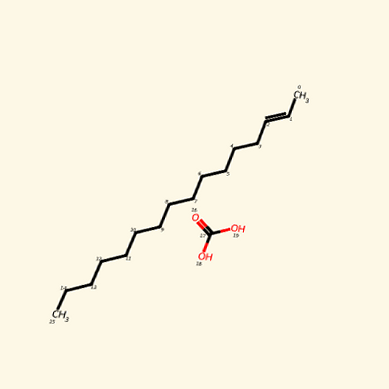 CC=CCCCCCCCCCCCCC.O=C(O)O